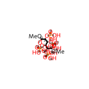 COC(=O)[C@@H](OP(=O)(O)O)[C@H](OP(=O)(O)O)[C@H](OP(=O)(O)O)[C@@H](OP(=O)(O)O)C(=O)OC